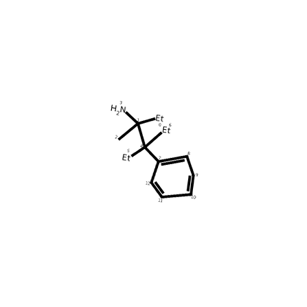 CCC(C)(N)C(CC)(CC)c1ccccc1